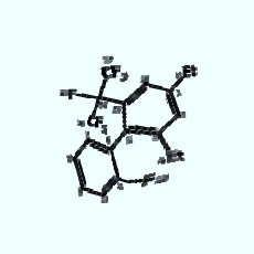 CCc1[c]c(CC)c(-c2ccccc2F)c(C(F)(C(F)(F)F)C(F)(F)F)c1